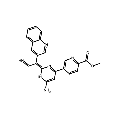 COC(=O)c1ccc(C2=N/C(=C(/C=N)c3cnc4ccccc4c3)NC(N)=C2)cn1